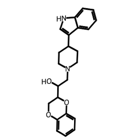 OC(CN1CCC(c2c[nH]c3ccccc23)CC1)C1COc2ccccc2O1